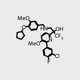 COc1cc(CNCC(O)(c2ccc(OC)c(-c3ccc(F)c(Cl)c3)n2)C(F)(F)F)ccc1OC1CCCC1